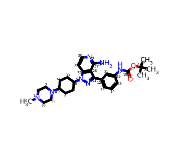 CN1CCN(C2CCC(n3nc(-c4cccc(NC(=O)OC(C)(C)C)c4)c4c(N)nccc43)CC2)CC1